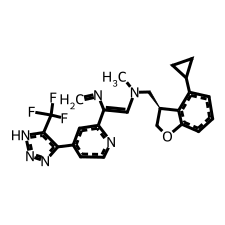 C=N/C(=C\N(C)C[C@@H]1COc2cccc(C3CC3)c21)c1cc(-c2nn[nH]c2C(F)(F)F)ccn1